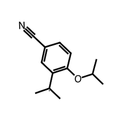 C[C](C)c1cc(C#N)ccc1OC(C)C